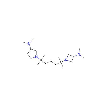 CN(C)C1CCN(C(C)(C)CCCC(C)(C)N2CC(N(C)C)C2)C1